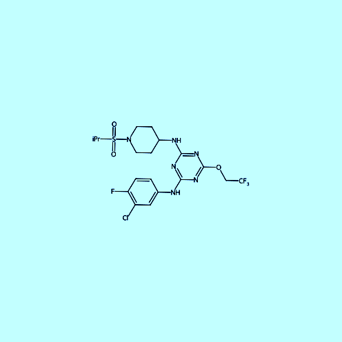 CC(C)S(=O)(=O)N1CCC(Nc2nc(Nc3ccc(F)c(Cl)c3)nc(OCC(F)(F)F)n2)CC1